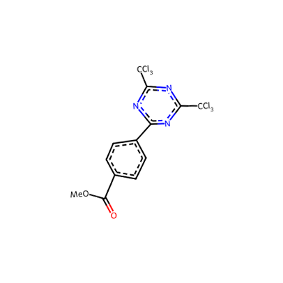 COC(=O)c1ccc(-c2nc(C(Cl)(Cl)Cl)nc(C(Cl)(Cl)Cl)n2)cc1